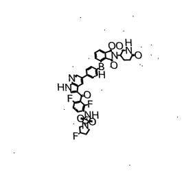 O=C1CCC(N2C(=O)c3cccc(Bc4ccc(-c5cnc6[nH]cc(C(=O)c7c(F)ccc(NS(=O)(=O)N8CC[C@@H](F)C8)c7F)c6c5)cc4)c3C2=O)C(=O)N1